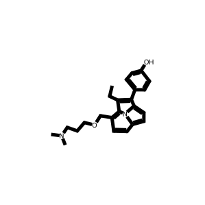 CCc1c(-c2ccc(O)cc2)c2ccc3ccc(COCCCN(C)C)c1n32